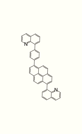 c1cnc2c(-c3ccc(-c4ccc5ccc6c(-c7cccc8cccnc78)ccc7ccc4c5c76)cc3)cccc2c1